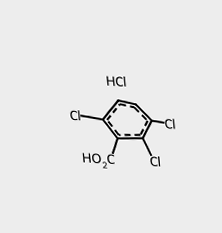 Cl.O=C(O)c1c(Cl)ccc(Cl)c1Cl